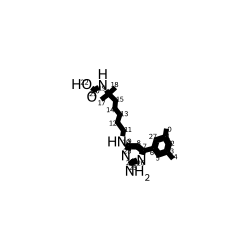 Cc1cc(C)cc(-c2cc(NCCCCCC(C)(C)NC(=O)O)nc(N)n2)c1